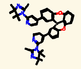 CC1=NC(C)(C)C(C)(C)N1c1cc(-c2ccc3c(c2)B2c4cc(-c5ccnc(N6C(C)=NC(C)(C)C6(C)C)c5)ccc4Oc4cccc(c42)O3)ccn1